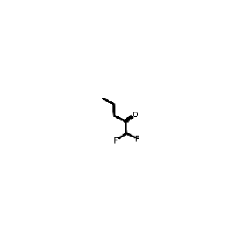 CCCC(=O)C(F)F